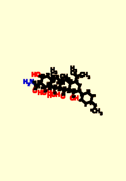 CCC1CCC(C2CC(C(C)C)C3C[C@@]4(C)C[C@@]5(C)CC(O)C(C(N)=O)C(O)[C@@]5(O)C(O)C4C(=O)C3C2O)CC1